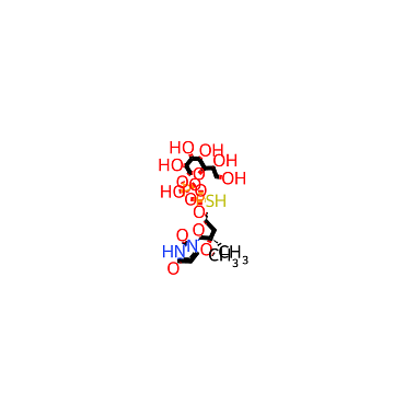 CC[C@@]1(OC)C[C@@H](COP(=O)(S)OP(=O)(O)OC2OC([C@@H](O)CO)C(O)C(O)C2O)O[C@H]1n1ccc(=O)[nH]c1=O